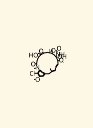 COc1cc2cc(c1Cl)N(C)C(=O)CC(O)C1(C)OC1C[C@@H]1C[C@@](O)(NC(=O)O1)C(OC)/C=C/C=C(\C)C2